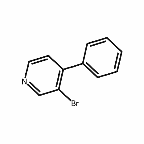 Brc1cnccc1-c1ccccc1